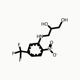 O=[N+]([O-])c1ccc(C(F)(F)F)cc1NCC(O)CO